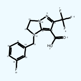 O=C(O)c1c(C(F)(F)F)nn2c1N(Cc1cccc(F)c1)CC2